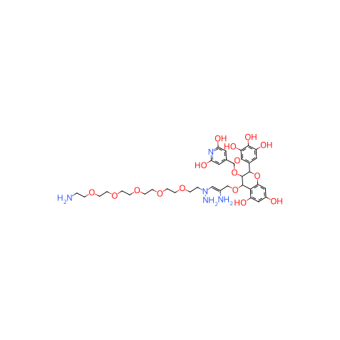 NCCOCCOCCOCCOCCOCCN(N)/C=C(\N)COC1c2c(O)cc(O)cc2OC(c2cc(O)c(O)c(O)c2)C1OC(=O)c1cc(O)nc(O)c1